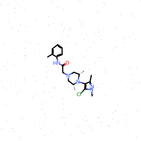 Cc1ccccc1NC(=O)CN1C[C@@H](C)N(c2c(C)nn(C)c2Cl)[C@@H](C)C1